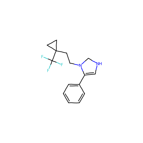 FC(F)(F)C1(CCN2CNC=C2c2ccccc2)CC1